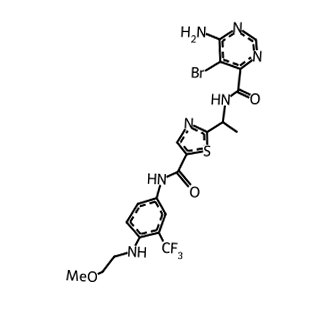 COCCNc1ccc(NC(=O)c2cnc(C(C)NC(=O)c3ncnc(N)c3Br)s2)cc1C(F)(F)F